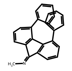 CN=C1c2cccc(-c3ccccc3)c2-c2c1cccc2-c1ccccc1